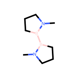 CN1CCCB1B1CCCN1C